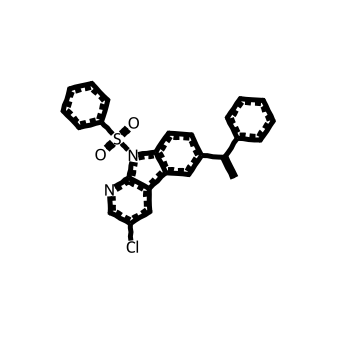 C=C(c1ccccc1)c1ccc2c(c1)c1cc(Cl)cnc1n2S(=O)(=O)c1ccccc1